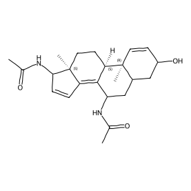 CC(=O)NC1CC2CC(O)C=C[C@]2(C)[C@@H]2CC[C@@]3(C)C(=C12)C=CC3NC(C)=O